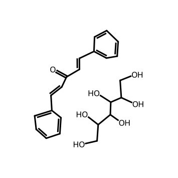 O=C(C=Cc1ccccc1)C=Cc1ccccc1.OCC(O)C(O)C(O)C(O)CO